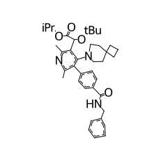 Cc1nc(C)c(C(OC(C)(C)C)C(=O)OC(C)C)c(N2CCC3(CCC3)CC2)c1-c1ccc(C(=O)NCc2ccccc2)cc1